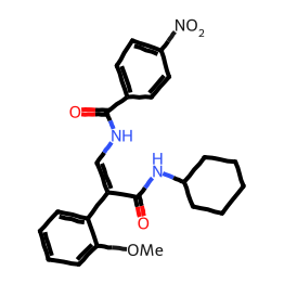 COc1ccccc1C(=CNC(=O)c1ccc([N+](=O)[O-])cc1)C(=O)NC1CCCCC1